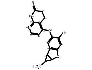 CCOC(=O)C1C2Oc3cc(Cl)c(Oc4ccnc5c4CCC(=O)N5)cc3C21